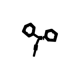 CC#C[SiH](c1ccccc1)c1ccccc1